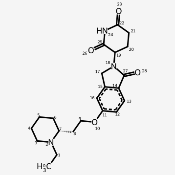 CCN1CCCC[C@@H]1CCOc1ccc2c(c1)CN(C1CCC(=O)NC1=O)C2=O